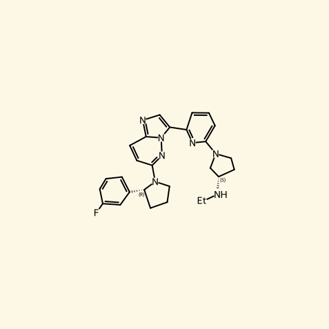 CCN[C@H]1CCN(c2cccc(-c3cnc4ccc(N5CCC[C@@H]5c5cccc(F)c5)nn34)n2)C1